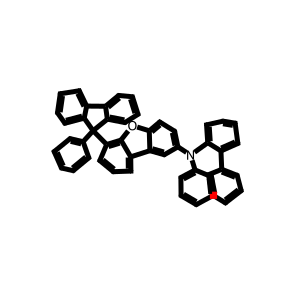 c1ccc(-c2ccccc2N(c2ccccc2)c2ccc3oc4c(C5(c6ccccc6)c6ccccc6-c6ccccc65)cccc4c3c2)cc1